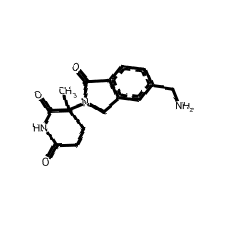 CC1(N2Cc3cc(CN)ccc3C2=O)CCC(=O)NC1=O